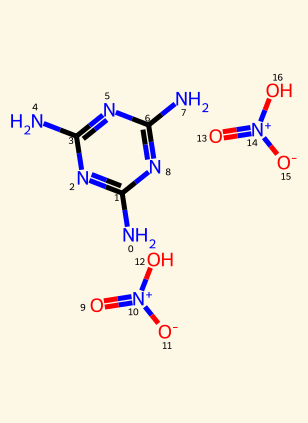 Nc1nc(N)nc(N)n1.O=[N+]([O-])O.O=[N+]([O-])O